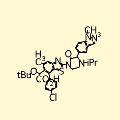 Cc1cc2nc(N3CCN(C(C)C)C(c4ccc5c(cnn5C)c4)C3=O)sc2c(-c2ccc(Cl)cc2)c1[C@H](OC(C)(C)C)C(=O)O